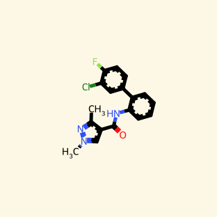 Cc1nn(C)cc1C(=O)Nc1ccccc1-c1ccc(F)c(Cl)c1